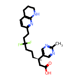 Cc1ncc([C@H](CCCC(F)(F)CCc2ccc3c(n2)NCCC3)CC(=O)O)cn1